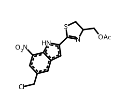 CC(=O)OCC1CSC(c2cc3cc(CCl)cc([N+](=O)[O-])c3[nH]2)=N1